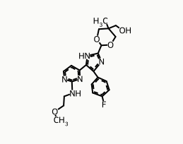 COCCNc1nccc(-c2[nH]c(C3OCC(C)(CO)CO3)nc2-c2ccc(F)cc2)n1